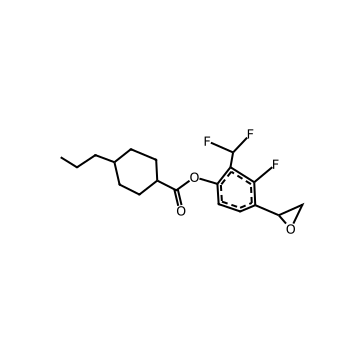 CCCC1CCC(C(=O)Oc2ccc(C3CO3)c(F)c2C(F)F)CC1